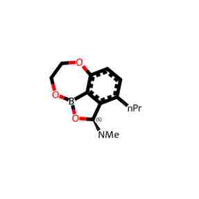 CCCc1ccc2c3c1[C@@H](NC)OB3OCCO2